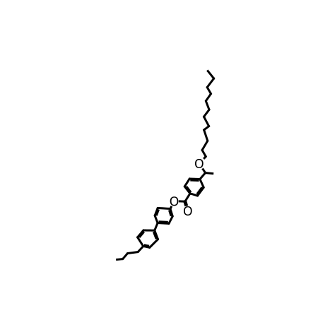 CCCCCCCCCCCCOC(C)c1ccc(C(=O)Oc2ccc(-c3ccc(CCCC)cc3)cc2)cc1